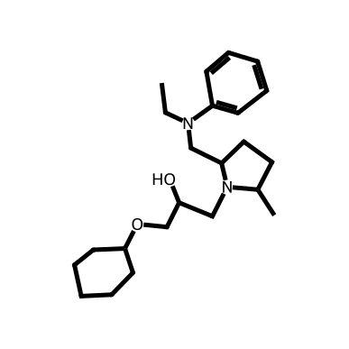 CCN(CC1CCC(C)N1CC(O)COC1CCCCC1)c1ccccc1